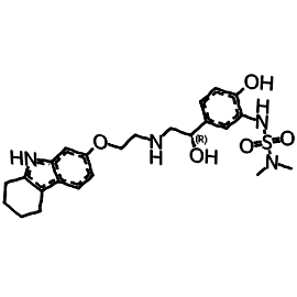 CN(C)S(=O)(=O)Nc1cc([C@@H](O)CNCCOc2ccc3c4c([nH]c3c2)CCCC4)ccc1O